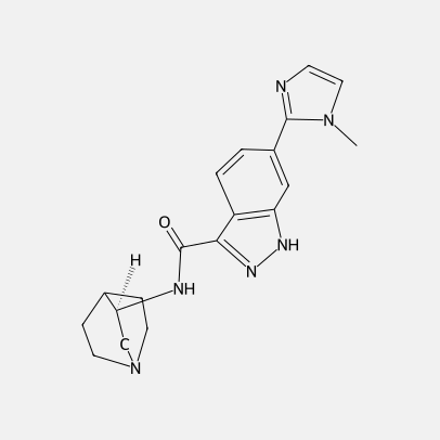 Cn1ccnc1-c1ccc2c(C(=O)N[C@H]3CN4CCC3CC4)n[nH]c2c1